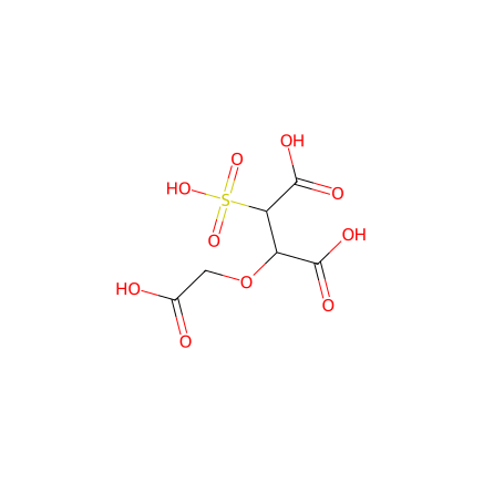 O=C(O)COC(C(=O)O)C(C(=O)O)S(=O)(=O)O